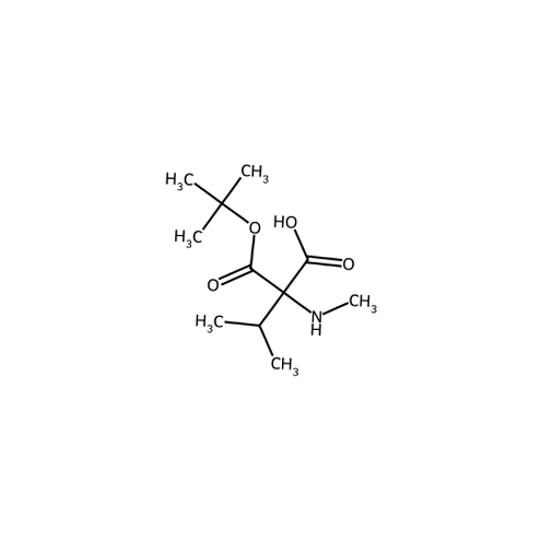 CNC(C(=O)O)(C(=O)OC(C)(C)C)C(C)C